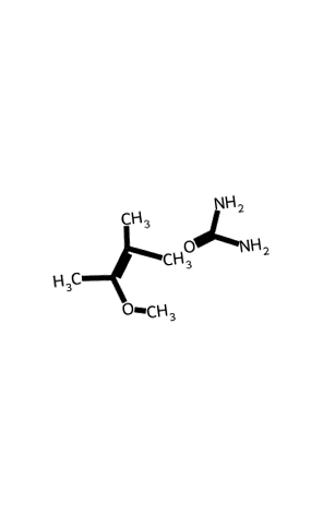 COC(C)=C(C)C.NC(N)=O